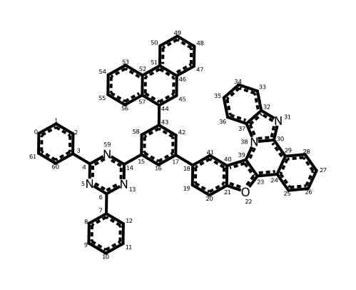 c1ccc(-c2nc(-c3ccccc3)nc(-c3cc(-c4ccc5oc6c7ccccc7c7nc8ccccc8n7c6c5c4)cc(-c4cc5ccccc5c5ccccc45)c3)n2)cc1